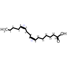 CCCC/C=C\CC/C=C\CCCCCC(=O)O